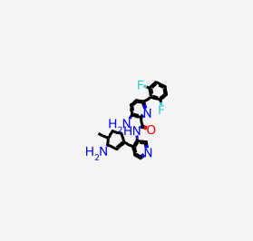 CC1CCC(c2ccncc2NC(=O)c2nc(-c3c(F)cccc3F)ccc2N)=CC1N